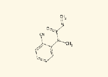 C=CC(=O)N(C)c1ccccc1C#N